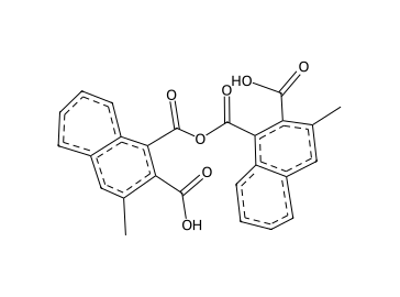 Cc1cc2ccccc2c(C(=O)OC(=O)c2c(C(=O)O)c(C)cc3ccccc23)c1C(=O)O